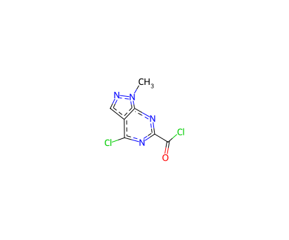 Cn1ncc2c(Cl)nc(C(=O)Cl)nc21